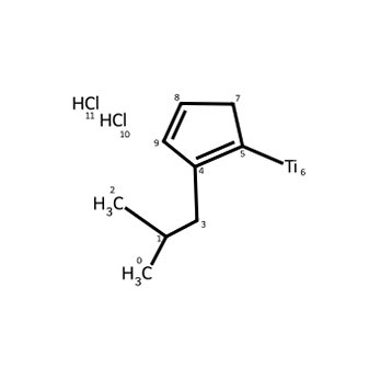 CC(C)CC1=[C]([Ti])CC=C1.Cl.Cl